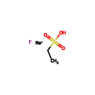 CCS(=O)(=O)O.[I-].[Na+]